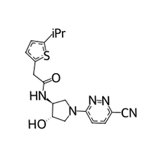 CC(C)c1ccc(CC(=O)N[C@H]2CN(c3ccc(C#N)nn3)C[C@@H]2O)s1